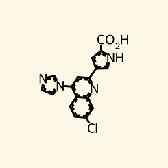 O=C(O)c1cc(-c2cc(-n3ccnc3)c3ccc(Cl)cc3n2)c[nH]1